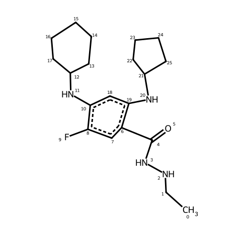 CCNNC(=O)c1cc(F)c(NC2CCCCC2)cc1NC1CCCC1